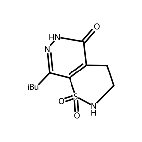 CCC(C)c1n[nH]c(=O)c2c1S(=O)(=O)NCC2